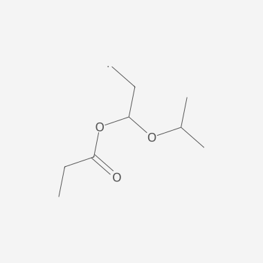 [CH2]CC(OC(=O)CC)OC(C)C